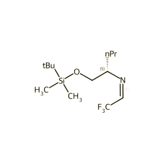 CCC[C@@H](CO[Si](C)(C)C(C)(C)C)/N=C\C(F)(F)F